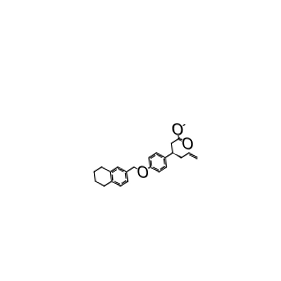 C=CC[C@H](CC(=O)OC)c1ccc(OCc2ccc3c(c2)CCCC3)cc1